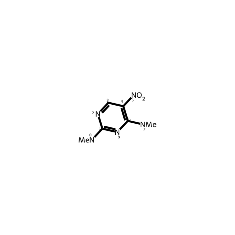 CNc1ncc([N+](=O)[O-])c(NC)n1